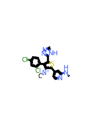 [C-]#[N+]c1c(-c2ccnc(NC)c2)sc(-c2nnc[nH]2)c1-c1ccc(Cl)cc1Cl